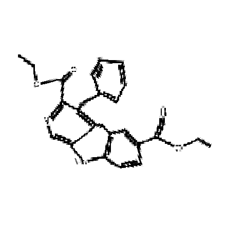 CCOC(=O)c1ccc2[nH]c3cnc(C(=O)OCC)c(-c4ccccc4)c3c2c1